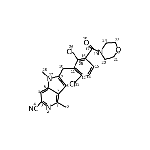 Cc1nc(C#N)cc2c1cc(Cc1c(Cl)ccc(C(=O)N3CCOCC3)c1Cl)n2C